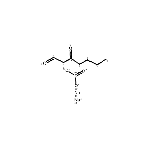 CCCCC(=O)CC=O.O=S([O-])[O-].[Na+].[Na+]